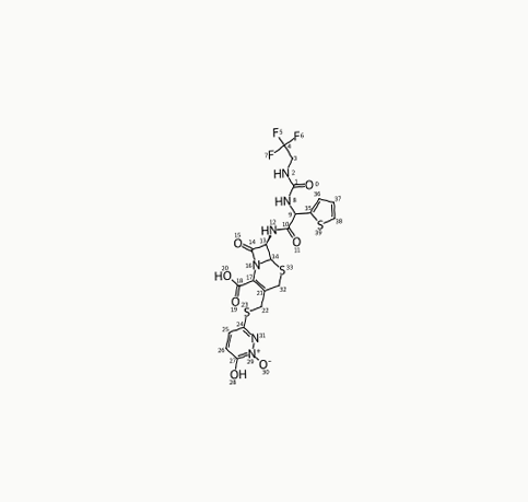 O=C(NCC(F)(F)F)NC(C(=O)N[C@@H]1C(=O)N2C(C(=O)O)=C(CSc3ccc(O)[n+]([O-])n3)CSC12)c1cccs1